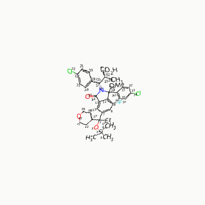 CCC(O[Si](C)(C)C)(c1cc(F)c2c(c1)C(=O)N([C@H](c1ccc(Cl)cc1)[C@H](C)C(=O)O)C2(OC)c1ccc(Cl)cc1)C1CCOCC1